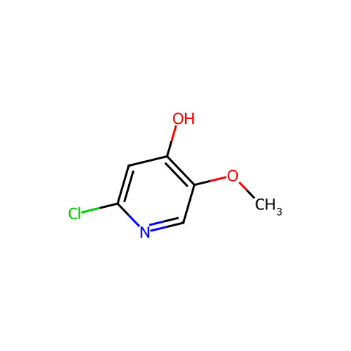 COc1cnc(Cl)cc1O